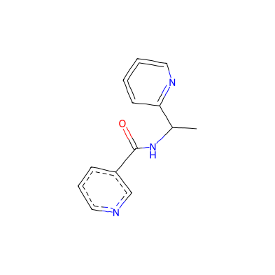 CC(NC(=O)c1cccnc1)C1=NC=C=C=C1